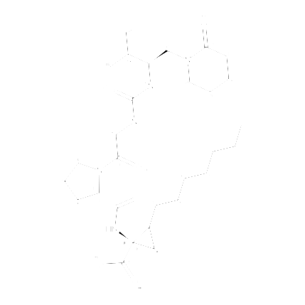 CCCCCCCC1C[C@]1(NC(=O)[C@@H]1CCCN1C(=O)CNC(=O)N[C@H](CN1CCCCC1=O)C(C)C)C(=O)O